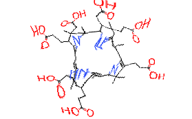 CC1C2=NC(C(CC(=O)O)C2(C)CCC(=O)O)C2(C)N=C(C=C3N/C(=C\C4=NC1=C(CCC(=O)O)C4(C)C)C(CCC(=O)O)C3(C)CC(=O)O)C(CCC(=O)O)C2(C)CC(=O)O